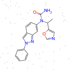 CC(c1cnco1)N(C(N)=O)c1ccc2cn(-c3ccccc3)nc2c1